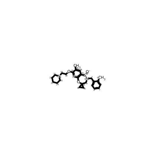 Cc1ccccc1CN1CC2(CC2)Oc2nc(OCCN3CCCCC3)c(C)cc2[S+]1[O-]